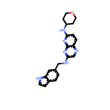 c1cc2ccc(CNc3cnc4ccc(NC5CCOCC5)nc4n3)cc2[nH]1